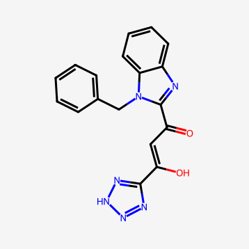 O=C(C=C(O)c1nn[nH]n1)c1nc2ccccc2n1Cc1ccccc1